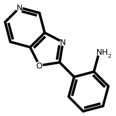 Nc1ccccc1-c1nc2cnccc2o1